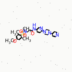 COc1cc(C)c(S(=O)(=O)N(C)CCC(=O)Nc2ccc(N3CCN(c4ccncc4)CC3)nc2)c(C)c1